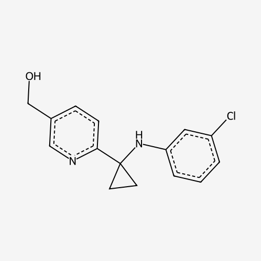 OCc1ccc(C2(Nc3cccc(Cl)c3)CC2)nc1